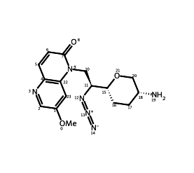 COc1cnc2ccc(=O)n(C[C@H](N=[N+]=[N-])[C@H]3CC[C@@H](N)CO3)c2c1